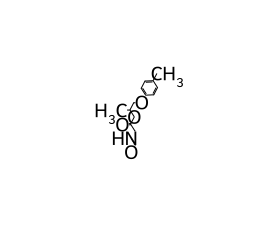 Cc1ccc(OC[C@H](C)OC(=O)CNC=O)cc1